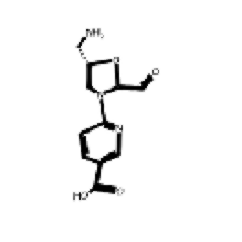 NC[C@H]1CN(c2ccc(C(=O)O)cn2)C(C=O)O1